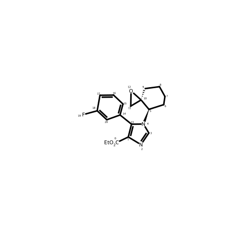 CCOC(=O)c1ncn([C@@H]2CCCC[C@@]23CO3)c1-c1cccc(F)c1